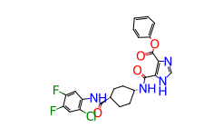 O=C(Oc1ccccc1)c1nc[nH]c1C(=O)N[C@H]1CC[C@H](C(=O)Nc2cc(F)c(F)cc2Cl)CC1